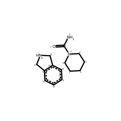 NC(=O)N1CCCCC1.c1ccc2c(c1)CNC2